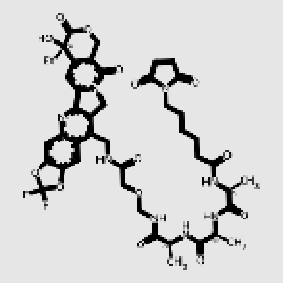 CC[C@@]1(O)C(=O)OCc2c1cc1n(c2=O)Cc2c-1nc1cc3c(cc1c2CNC(=O)COCNC(=O)[C@H](C)NC(=O)[C@H](C)NC(=O)[C@H](C)NC(=O)CCCCCN1C(=O)C=CC1=O)OC(F)(F)O3